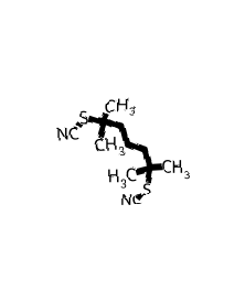 CC(C)(CCCC(C)(C)SC#N)SC#N